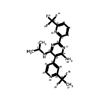 CC(C)Nc1nc(-c2cccc(C(F)(F)F)n2)nc(N)c1-c1ccnc(C(C)(F)F)c1